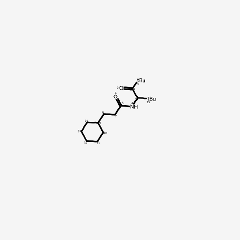 CC(C)(C)C(=O)C(NC(=O)CCC1CCCCC1)C(C)(C)C